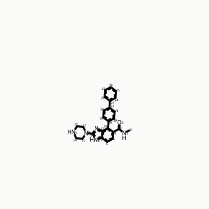 CNC(=O)c1ccc2[nH]c(N3CCNCC3)nc2c1-c1ccc(-c2ccccc2)cc1